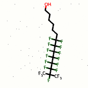 OCCCCCCC(F)(F)C(F)(F)C(F)(F)C(F)(F)C(F)(F)C(F)(F)C(F)(C(F)(F)F)C(F)(F)F